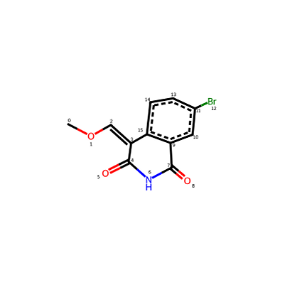 COC=C1C(=O)NC(=O)c2cc(Br)ccc21